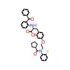 O=C(c1ccccc1)c1ccccc1NC(Cc1ccc(OCCN(C(=O)C2CCCC2)c2ccccc2F)cc1)C(=O)O